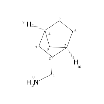 NCC1C[C@H]2CC[C@@H]1C2